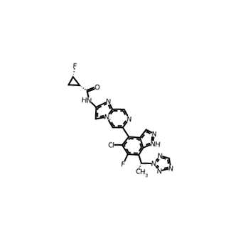 C[C@H](c1c(F)c(Cl)c(-c2cn3cc(NC(=O)[C@@H]4C[C@@H]4F)nc3cn2)c2cn[nH]c12)n1ncnn1